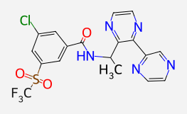 CC(NC(=O)c1cc(Cl)cc(S(=O)(=O)C(F)(F)F)c1)c1nccnc1-c1cnccn1